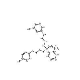 [CH2]CCC(CCCCc1ccc(F)cc1)(CCCCc1cccc(F)c1)c1ccccc1C